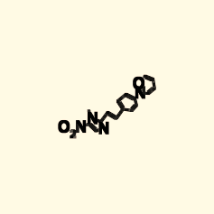 Cn1c([N+](=O)[O-])cnc1/C=C/c1ccc(N2C=CC=CO2)cc1